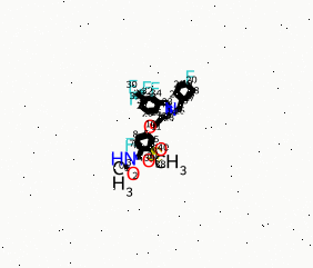 CC(=O)NCc1c(F)cc(OCCCN(Cc2ccc(F)cc2)Cc2cccc(C(F)(F)F)c2F)cc1S(C)(=O)=O